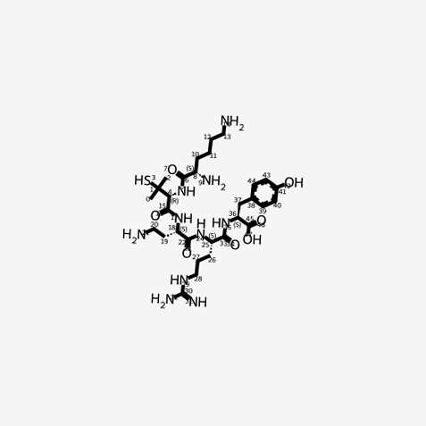 CC(C)(S)[C@H](NC(=O)[C@@H](N)CCCCN)C(=O)N[C@@H](CCN)C(=O)N[C@@H](CCCNC(=N)N)C(=O)N[C@@H](Cc1ccc(O)cc1)C(=O)O